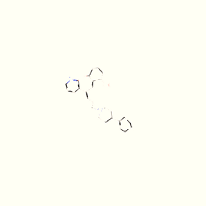 OC1C=CC=C2Oc3ncccc3C(=CCCN3CC=C(c4ccc(Cl)cc4)CC3)C=C21